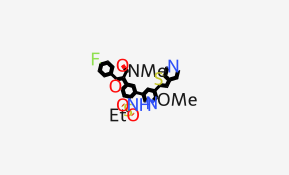 CCS(=O)(=O)Nc1cc2oc(-c3ccc(F)cc3)c(C(=O)NC)c2cc1-c1cnc(OC)c(-c2cc3ccncc3s2)c1